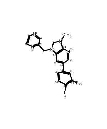 CN1CN(Cc2cnccn2)c2cc(-c3ccc(F)c(F)c3)cnc21